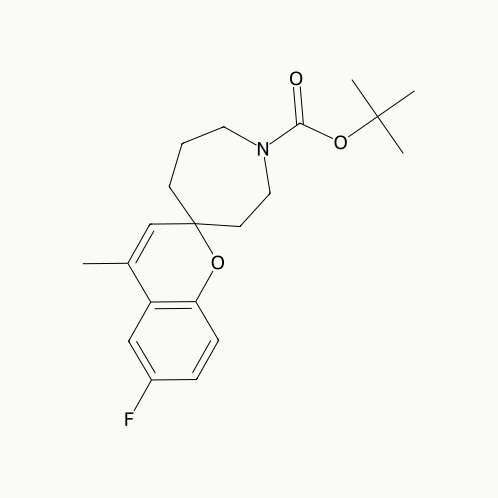 CC1=CC2(CCCN(C(=O)OC(C)(C)C)CC2)Oc2ccc(F)cc21